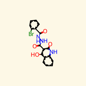 O=C(NNC(=O)c1c(O)c2ccccc2[nH]c1=O)c1ccccc1Br